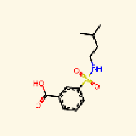 CC(C)CCNS(=O)(=O)c1cccc(C(=O)O)c1